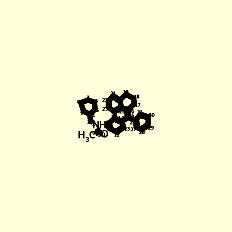 CC(NCC1CCCCC1)Oc1ccc(C(=C2CCCc3ccccc32)c2ccccc2)cc1